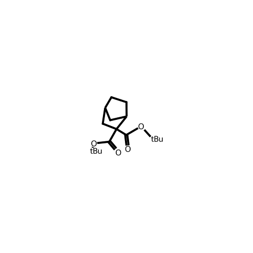 CC(C)(C)OC(=O)C1(C(=O)OC(C)(C)C)CC2CCC1C2